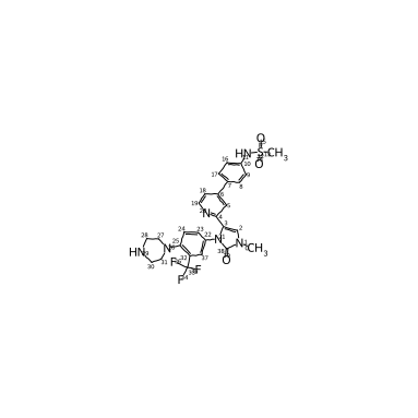 Cn1cc(-c2cc(-c3ccc(NS(C)(=O)=O)cc3)ccn2)n(-c2ccc(N3CCNCC3)c(C(F)(F)F)c2)c1=O